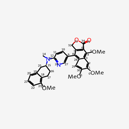 COc1cc2c(OC)c3c(c(-c4ccc(N(C)[C@H]5CCc6c(cccc6OC)C5)nc4)c2cc1OC)COC3=O